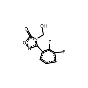 O=c1onc(-c2cccc(F)c2F)n1CO